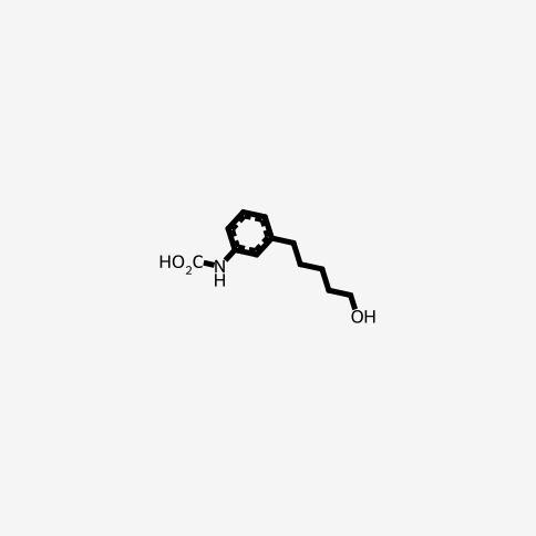 O=C(O)Nc1cccc(CCCCCO)c1